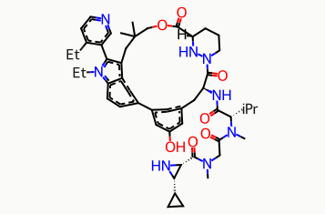 CCc1ccncc1-c1c2c3cc(ccc3n1CC)-c1cc(O)cc(c1)C[C@H](NC(=O)[C@H](C(C)C)N(C)C(=O)CN(C)C(=O)[C@H]1N[C@H]1C1CC1)C(=O)N1CCC[C@H](N1)C(=O)OCC(C)(C)C2